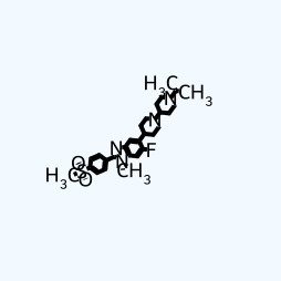 CC(C)N1CCC(N2CCC(c3cc4nc(-c5ccc(S(C)(=O)=O)cc5)n(C)c4cc3F)CC2)CC1